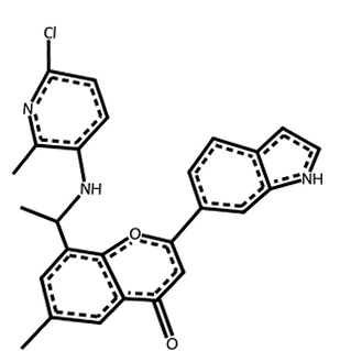 Cc1cc(C(C)Nc2ccc(Cl)nc2C)c2oc(-c3ccc4cc[nH]c4c3)cc(=O)c2c1